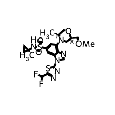 COC[C@H]1CN(c2cc(S(=O)(=O)NC3(C)CC3)cc3c2ncn3-c2nnc(C(F)F)s2)[C@@H](C)CO1